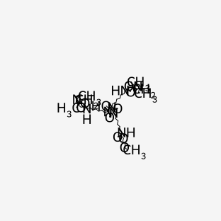 C=CC(C)(CN1CC1C)OC(=O)NCCCCCCN1C(=O)N(CCCCCCNC(=O)OCCOC)C(=O)N(CCCCCCNC(=O)OC(C)(C=C)CN2CC2C)C1O